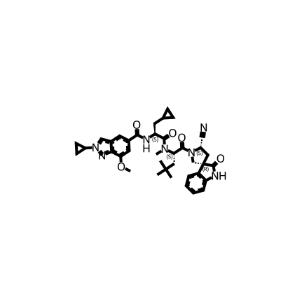 COc1cc(C(=O)N[C@@H](CC2CC2)C(=O)N(C)[C@@H](CC(C)(C)C)C(=O)N2C[C@]3(C[C@H]2C#N)C(=O)Nc2ccccc23)cc2cn(C3CC3)nc12